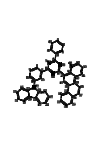 c1ccc(-c2nc(-c3cccc(-n4c5ccccc5c5ccccc54)c3)nc(-c3cc4c5ccccc5ccc4c4cccnc34)n2)cc1